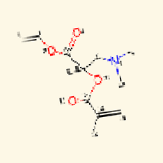 C=COC(=O)C(C)(CN(C)C)OC(=O)C(=C)C